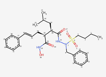 CCCCS(=O)(=O)N(Cc1ccccc1)NC(=O)[C@H](CC(C)C)[C@H](CC=Cc1ccccc1)C(=O)NO